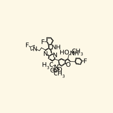 CNC(O)c1c(-c2ccc(F)cc2)oc2cc(N(C)S(C)(=O)=O)c(-c3ccc4nc(CCN5CC(F)C5)c5c([nH]c6cccc(F)c65)c4n3)cc12